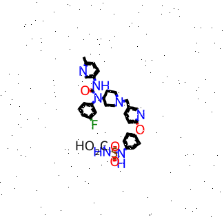 Cc1ccc(NC(=O)N(c2cccc(F)c2)C2CCN(Cc3ccc(Oc4ccc(NS(=O)(=O)NC(=O)O)cc4)nc3)CC2)cn1